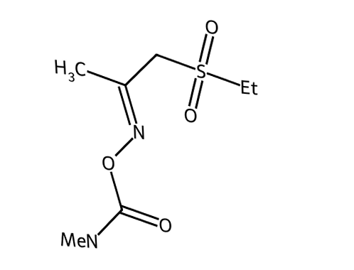 CCS(=O)(=O)CC(C)=NOC(=O)NC